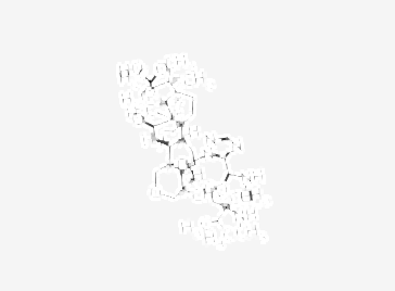 CNC(=O)c1ncnn1[C@@H]1C[C@@]23COC[C@](C)([C@@H]2CC[C@H]2C3=CC(=O)[C@]3(C)[C@H](OC(=O)O)[C@@](C)([C@H](C)C(C)C)CC[C@]23C)[C@H]1OC[C@](C)(NC)C(C)C